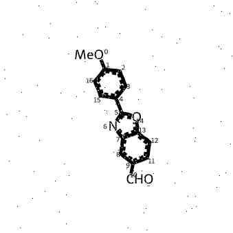 COc1ccc(-c2nc3cc(C=O)ccc3o2)cc1